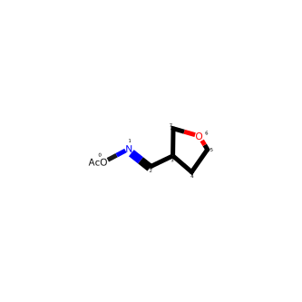 CC(=O)O/N=C/C1CCOC1